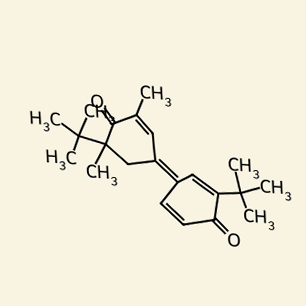 CC1=CC(=C2C=CC(=O)C(C(C)(C)C)=C2)CC(C)(C(C)(C)C)C1=O